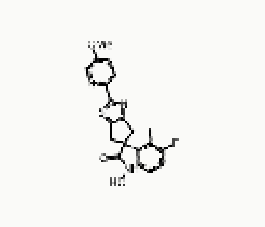 COc1ccc(-c2nc3c(s2)CC(C(=O)NO)(c2cccc(F)c2C)C3)nc1